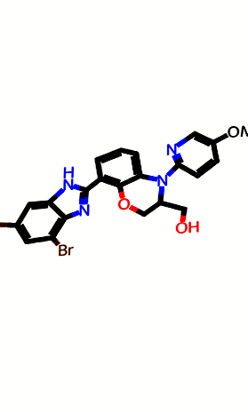 COc1ccc(N2c3cccc(-c4nc5c(Br)cc(Br)cc5[nH]4)c3OCC2CO)nc1